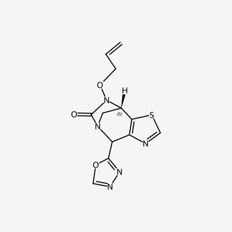 C=CCON1C(=O)N2C[C@H]1c1scnc1C2c1nnco1